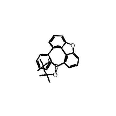 CC1(C)OB(c2cccc3oc4cccc(-c5ccccc5)c4c23)OC1(C)C